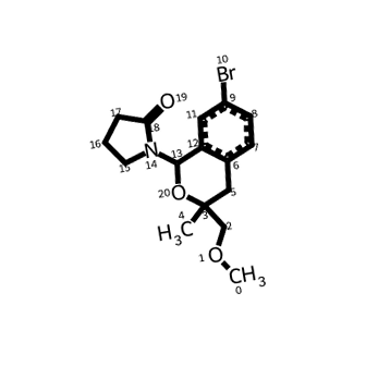 COCC1(C)Cc2ccc(Br)cc2C(N2CCCC2=O)O1